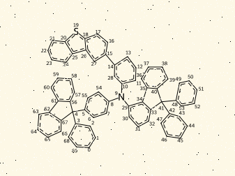 c1ccc(C2(c3ccc(N(c4cccc(-c5ccc6sc7ccccc7c6c5)c4)c4cccc5c4-c4ccccc4C5(c4ccccc4)c4ccccc4)cc3)c3ccccc3-c3ccccc32)cc1